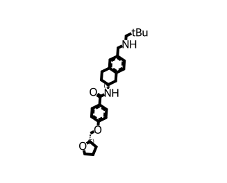 CC(C)(C)CNCc1ccc2c(c1)CC[C@H](NC(=O)c1ccc(OC[C@@H]3CCCO3)cc1)C2